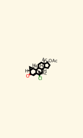 CC(=O)OC[C@@]12C(=CC(=O)[C@@H]3C[C@@H]31)C(Cl)=C[C@@H]1[C@@H]2CC[C@@]2(C)[C@H]1CC[C@]2(OC(C)=O)C(C)=O